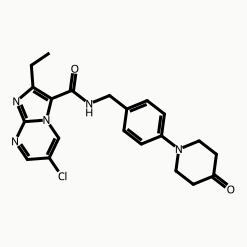 CCc1nc2ncc(Cl)cn2c1C(=O)NCc1ccc(N2CCC(=O)CC2)cc1